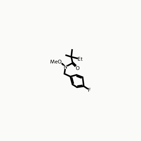 CCC(C)(C)C(=O)N(Cc1ccc(F)cc1)OC